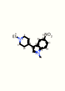 CCN1CC=C(c2cn(C)c3ccc([N+](=O)[O-])cc23)CC1